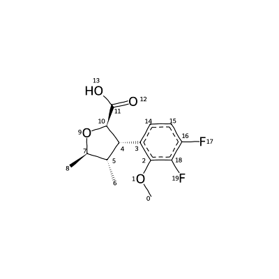 COc1c([C@@H]2[C@H](C)[C@@H](C)O[C@H]2C(=O)O)ccc(F)c1F